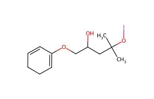 CC(C)(CC(O)COC1=CCCC=C1)OI